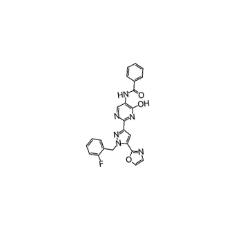 O=C(Nc1cnc(-c2cc(-c3ncco3)n(Cc3ccccc3F)n2)nc1O)c1ccccc1